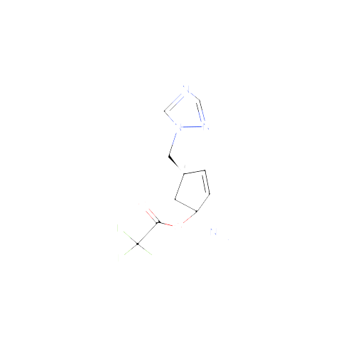 N[C@@]1(OC(=O)C(F)(F)F)C=C[C@H](Cn2cncn2)C1